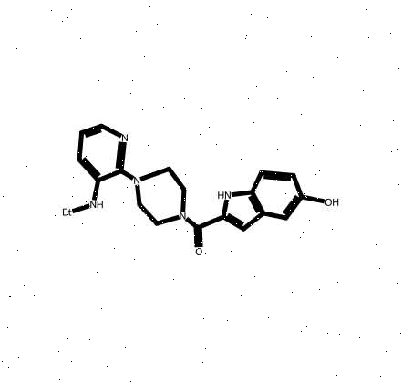 CCNc1cccnc1N1CCN(C(=O)c2cc3cc(O)ccc3[nH]2)CC1